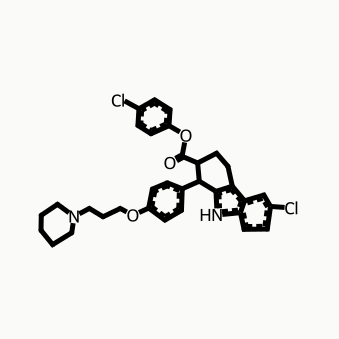 O=C(Oc1ccc(Cl)cc1)C1CCc2c([nH]c3ccc(Cl)cc23)C1c1ccc(OCCCN2CCCCC2)cc1